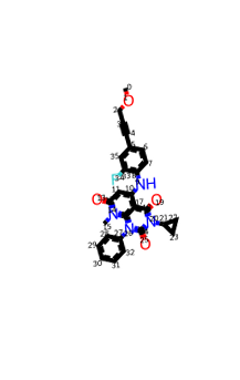 COCC#Cc1ccc(Nc2cc(=O)n(C)c3c2c(=O)n(C2CC2)c(=O)n3-c2ccccc2)c(F)c1